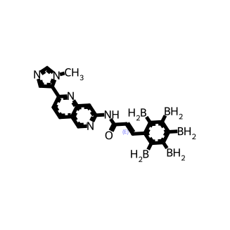 Bc1c(B)c(B)c(/C=C/C(=O)Nc2cc3nc(-c4cncn4C)ccc3cn2)c(B)c1B